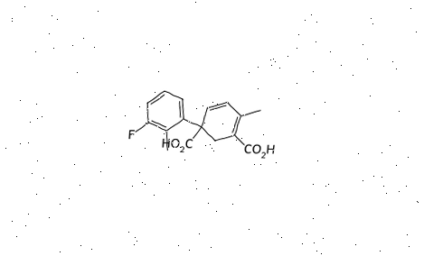 CC1=C(C(=O)O)CC(C(=O)O)(c2cccc(F)c2C)C=C1